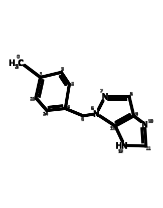 Cc1ccc(Cn2ncc3nc[nH]c32)cc1